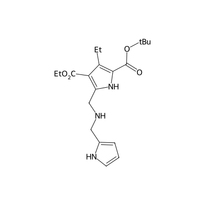 CCOC(=O)c1c(CNCc2ccc[nH]2)[nH]c(C(=O)OC(C)(C)C)c1CC